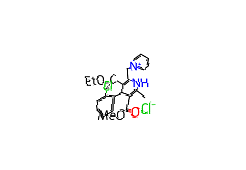 CCOC(=O)C1=C(C[n+]2ccccc2)NC(C)=C(C(=O)OC)C1c1ccccc1Cl.[Cl-]